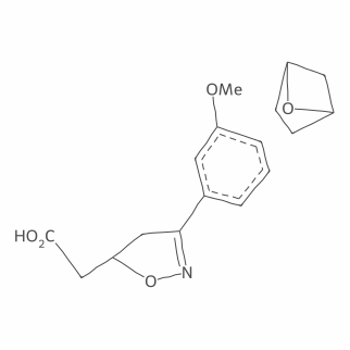 C1CC2CC1O2.COc1cccc(C2=NOC(CC(=O)O)C2)c1